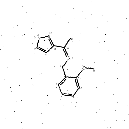 COc1ccccc1C/N=C(/C)c1cc[nH]n1